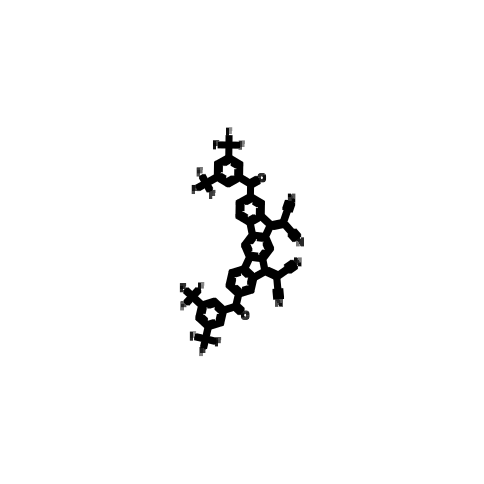 N#CC(C#N)=C1c2cc(C(=O)c3cc(C(F)(F)F)cc(C(F)(F)F)c3)ccc2-c2cc3c(cc21)C(=C(C#N)C#N)c1cc(C(=O)c2cc(C(F)(F)F)cc(C(F)(F)F)c2)ccc1-3